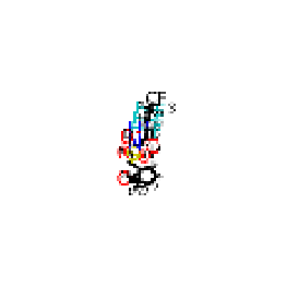 CC1(C)C2CCC1(CS(=O)(=O)[NH+]([O-])C(=O)C(F)(F)C(F)(F)C(F)(F)C(F)(F)F)C(=O)C2